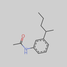 CCCC(C)c1cccc(NC(C)=O)c1